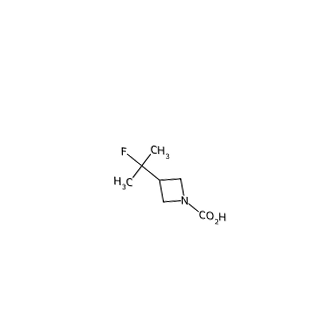 CC(C)(F)C1CN(C(=O)O)C1